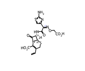 C=CC1=C(C(=O)O)N2C(=O)[C@H](NC(=O)/C(=N\OCC(=O)O)c3csc(N)n3)[C@H]2SC1